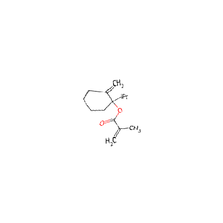 C=C(C)C(=O)OC1(C(C)C)CCCCC1=C